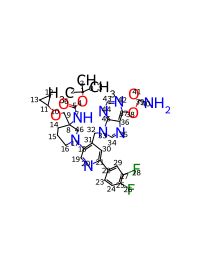 CC(C)(C)OC(=O)NC1(COC2CC2)CCCN(c2cnc(-c3ccc(F)c(F)c3)cc2Cn2cnc3c(OC(N)=O)ncnc32)C1